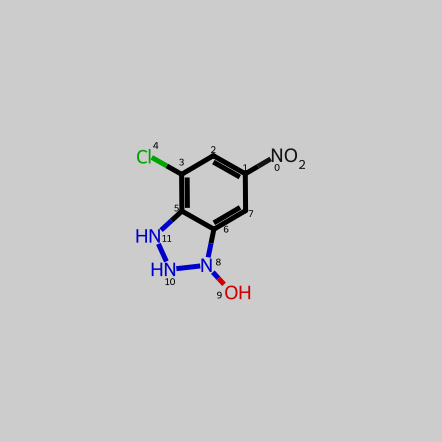 O=[N+]([O-])c1cc(Cl)c2c(c1)N(O)NN2